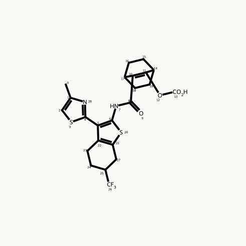 Cc1csc(-c2c(NC(=O)C3=C(OC(=O)O)C4CCC3CC4)sc3c2CCC(C(F)(F)F)C3)n1